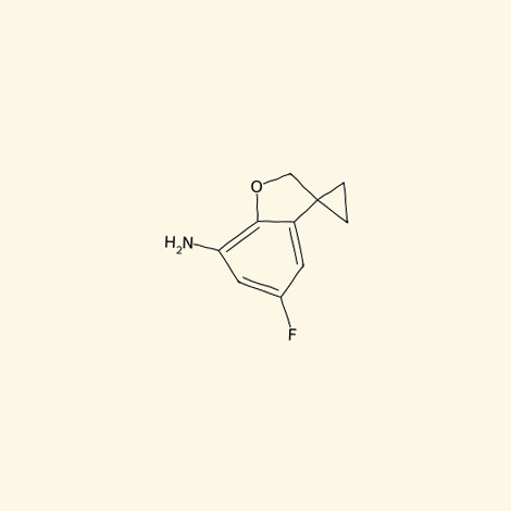 Nc1cc(F)cc2c1OCC21CC1